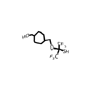 OC1CCC(COC(S)(C(F)(F)F)C(F)(F)F)CC1